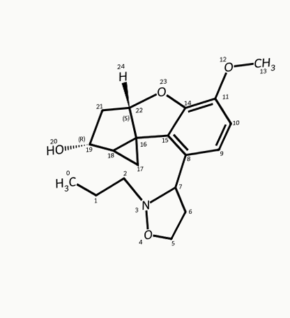 CCCN1OCCC1c1ccc(OC)c2c1C13CC1[C@H](O)C[C@@H]3O2